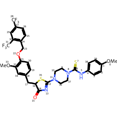 COc1ccc(NC(=S)N2CCN(C3=NC(=O)C(Cc4ccc(OCc5ccc(C(F)(F)F)cc5C(F)(F)F)c(OC)c4)S3)CC2)cc1